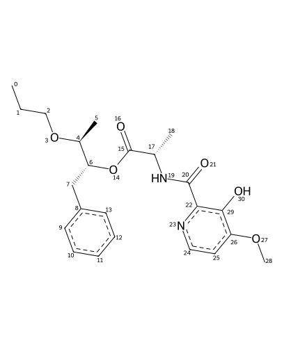 CCCO[C@@H](C)[C@@H](Cc1ccccc1)OC(=O)[C@H](C)NC(=O)c1nccc(OC)c1O